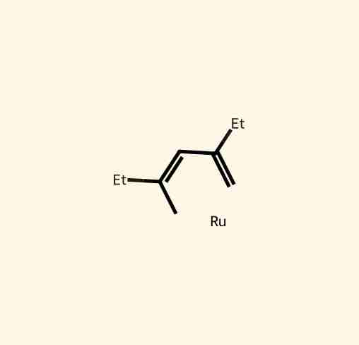 C=C(C=C(C)CC)CC.[Ru]